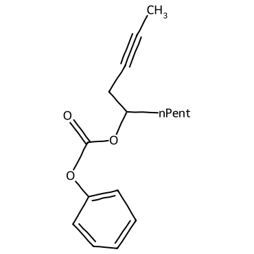 CC#CCC(CCCCC)OC(=O)Oc1ccccc1